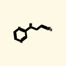 C=CCNc1cnccn1